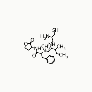 CC[C@H](C)[C@@H](CN(C)[C@@H](Cc1ccccc1)C(=O)N[C@H]1CCOC1=O)NC[C@@H](N)CS